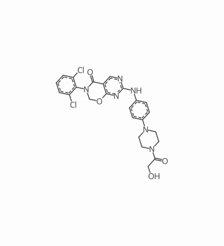 O=C(CO)N1CCN(c2ccc(Nc3ncc4c(n3)OCN(c3c(Cl)cccc3Cl)C4=O)cc2)CC1